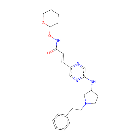 O=C(/C=C/c1cnc(N[C@@H]2CCN(CCc3ccccc3)C2)cn1)NOC1CCCCO1